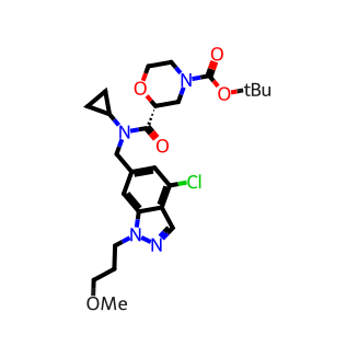 COCCCn1ncc2c(Cl)cc(CN(C(=O)[C@H]3CN(C(=O)OC(C)(C)C)CCO3)C3CC3)cc21